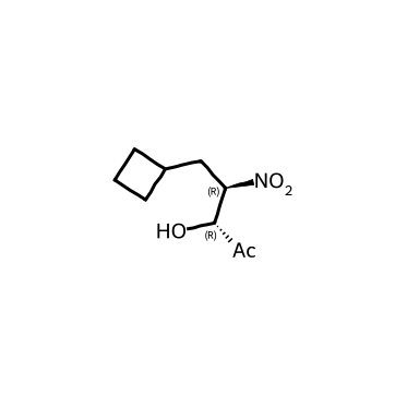 CC(=O)[C@H](O)[C@@H](CC1CCC1)[N+](=O)[O-]